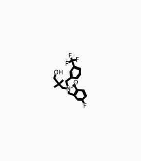 CC(C)(CO)C[N+]1(Cc2cccc(C(F)(F)F)c2)Cc2cc(F)ccc2C1=O